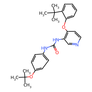 CC(C)(C)Oc1ccc(NC(=O)Nc2cnccc2Oc2ccccc2C(C)(C)C)cc1